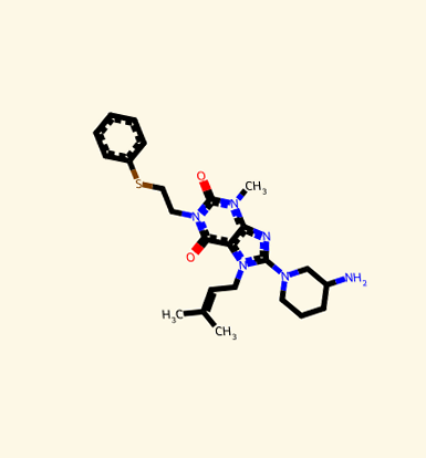 CC(C)=CCn1c(N2CCCC(N)C2)nc2c1c(=O)n(CCSc1ccccc1)c(=O)n2C